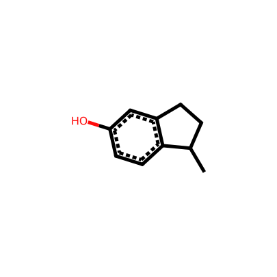 CC1CCc2cc(O)ccc21